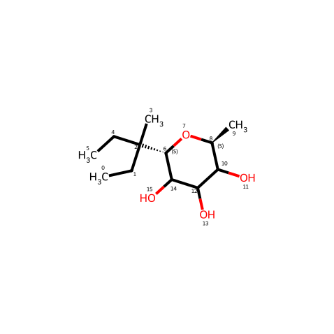 CCC(C)(CC)[C@@H]1O[C@@H](C)C(O)C(O)C1O